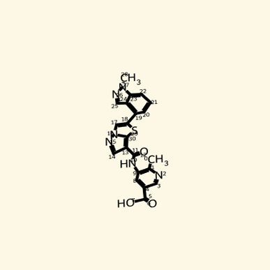 Cc1ncc(C(=O)O)cc1NC(=O)c1cnn2cc(-c3cccc4c3cnn4C)sc12